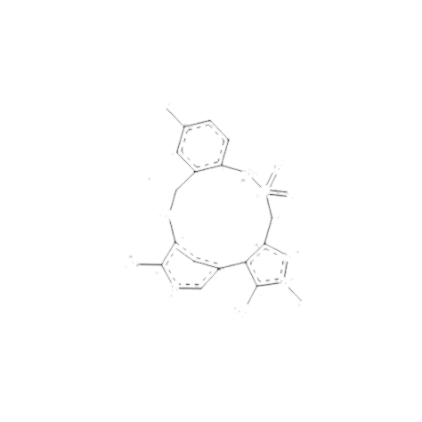 Cc1ccc2c(c1)[C@@H](C)Oc1cc(cnc1N)-c1c(nn(C)c1C#N)CS(=N)(=O)N2